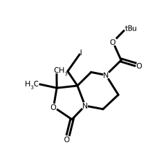 CC(C)(C)OC(=O)N1CCN2C(=O)OC(C)(C)C2(CI)C1